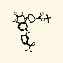 C[C@@H]1C(=O)N(C)c2ccc(Nc3cccc(C(=O)N(C)C)c3)cc2N1C1CCN(C(=O)OC(C)(C)C)CC1